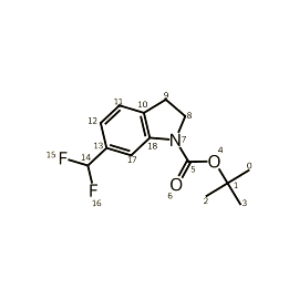 CC(C)(C)OC(=O)N1CCc2ccc(C(F)F)cc21